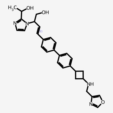 CC(O)c1nccn1C(/C=C/c1ccc(-c2ccc(C3CC(NCc4cocn4)C3)cc2)cc1)CO